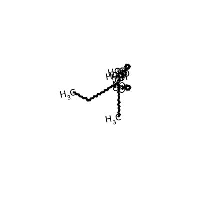 CCCCCCCC/C=C\CCCCCCCCCCCCCC(=O)N[C@@H](CO[C@H]1O[C@@H]2COC(c3ccccc3)O[C@@H]2[C@H](O)[C@H]1O)[C@@H](/C=C/CCCCCCCCCCCCC)OC(=O)c1ccccc1